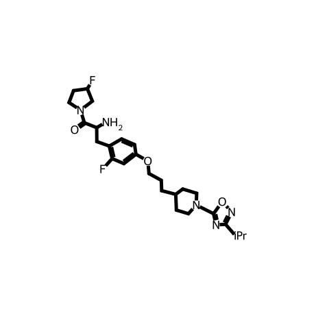 CC(C)c1noc(N2CCC(CCCOc3ccc(CC(N)C(=O)N4CCC(F)C4)c(F)c3)CC2)n1